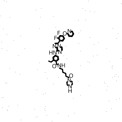 CCc1cc(Nc2nccn3c(-c4ccc(Oc5ccccn5)c(F)c4F)cnc23)ccc1C(=O)NCCCCCC(=O)N1CCNCC1